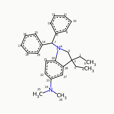 CCC1(CC)CN(C(c2ccccc2)c2ccccc2)c2ccc(N(C)C)cc21